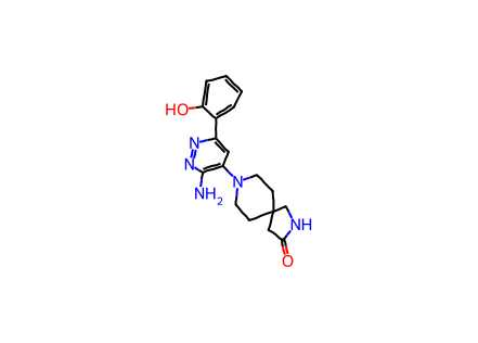 Nc1nnc(-c2ccccc2O)cc1N1CCC2(CC1)CNC(=O)C2